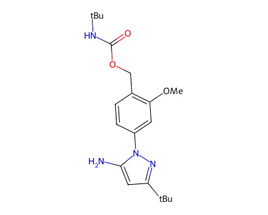 COc1cc(-n2nc(C(C)(C)C)cc2N)ccc1COC(=O)NC(C)(C)C